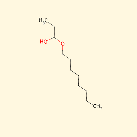 CCCCCCCCOC(O)CC